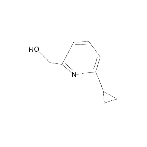 OCc1cccc(C2CC2)n1